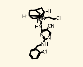 N#Cc1cnc(NCc2ccccc2Cl)nc1NC[C@]12CC3C[C@H](C1)[C@H](NCCCl)[C@@H](C3)C2